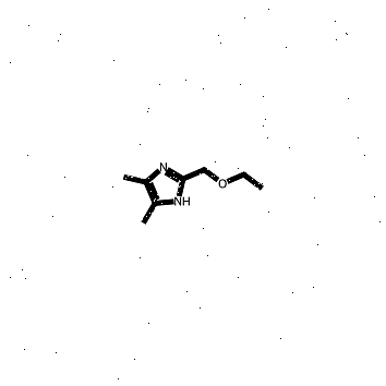 CCOCc1nc(C)c(C)[nH]1